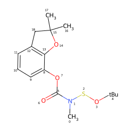 CN(SOC(C)(C)C)C(=O)Oc1cccc2c1OC(C)(C)C2